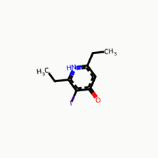 CCc1cc(=O)c(I)c(CC)[nH]1